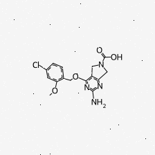 COc1cc(Cl)ccc1COc1nc(N)nc2c1CN(C(=O)O)C2